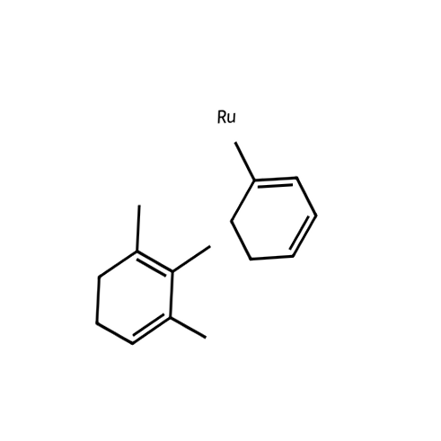 CC1=CC=CCC1.CC1=CCCC(C)=C1C.[Ru]